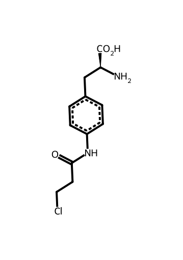 N[C@@H](Cc1ccc(NC(=O)CCCl)cc1)C(=O)O